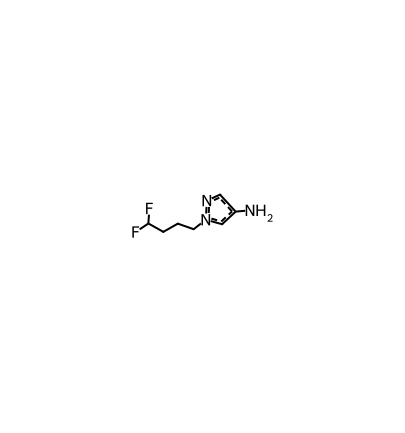 Nc1cnn(CCCC(F)F)c1